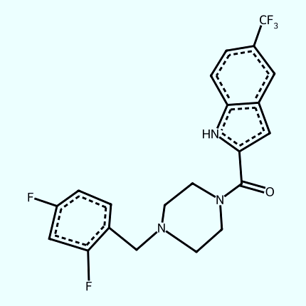 O=C(c1cc2cc(C(F)(F)F)ccc2[nH]1)N1CCN(Cc2ccc(F)cc2F)CC1